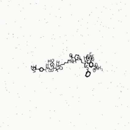 Cc1ncsc1-c1ccc([C@H](C)NC(=O)[C@@H]2C[C@@H](O)CN2C(=O)[C@@H](NC(=O)CCCCCNC(=O)[C@H]2CCN(CC[C@H](CSc3ccccc3)Nc3ccc(S(N)(=O)=O)cc3S(=O)(=O)C(F)(F)F)C2)C(C)(C)C)cc1